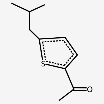 CC(=O)c1ccc(CC(C)C)s1